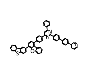 c1ccc(-c2cc(-c3ccc(-c4ccc(-c5ccc6sc7ccccc7c6c5)c5oc6ccccc6c45)cc3)nc(-c3ccc(-c4ccc(-c5cccnc5)cc4)cc3)n2)cc1